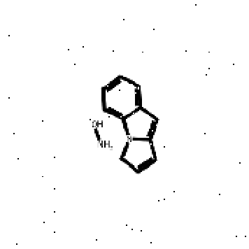 C1=Cc2cc3ccccc3n2C1.NO